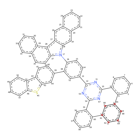 c1ccc(-c2ccccc2-c2nc(-c3ccc(-n4c5cc6ccccc6cc5c5c6ccccc6ccc54)c(-c4ccc5c(c4)sc4ccccc45)c3)nc(-c3ccccc3-c3ccccc3)n2)cc1